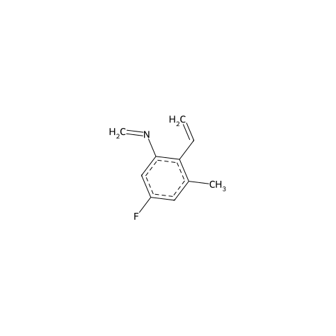 C=Cc1c(C)cc(F)cc1N=C